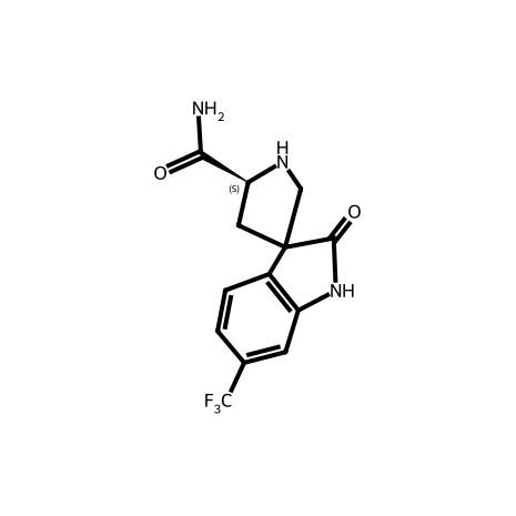 NC(=O)[C@@H]1CC2(CN1)C(=O)Nc1cc(C(F)(F)F)ccc12